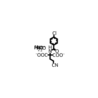 N#CCCC(NC(=O)c1ccc(Cl)cc1)(C(=O)[O-])C(=O)[O-].O.O.[Na+].[Na+]